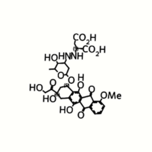 COc1cccc2c1C(=O)c1c(O)c3c(c(O)c1C2=O)C[C@@](O)(C(=O)CO)C[C@@H]3OC1CC(NN[C@@H](CC(=O)O)C(=O)O)C(O)C(C)O1